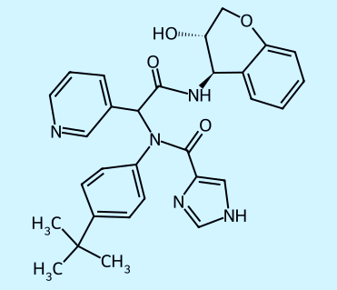 CC(C)(C)c1ccc(N(C(=O)c2c[nH]cn2)C(C(=O)N[C@@H]2c3ccccc3OC[C@H]2O)c2cccnc2)cc1